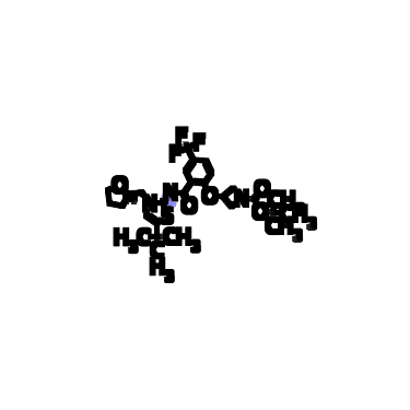 CC(C)(C)OC(=O)N1CC(Oc2ccc(C(F)(F)F)cc2C(=O)/N=c2\sc(C(C)(C)C)cn2C[C@H]2CCCO2)C1